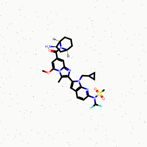 COc1cc(C(=O)N2[C@H]3CCC[C@@H]2[C@H](N)C3)cc2nc(-c3cc4ccc(N(C(F)F)S(C)(=O)=O)nc4n3CC3CC3)c(C)n12